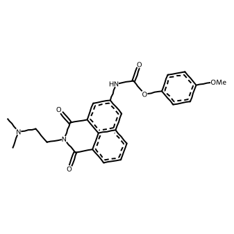 COc1ccc(OC(=O)Nc2cc3c4c(cccc4c2)C(=O)N(CCN(C)C)C3=O)cc1